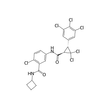 O=C(NC1CCC1)c1cc(NC(=O)[C@H]2[C@H](c3cc(Cl)c(Cl)c(Cl)c3)C2(Cl)Cl)ccc1Cl